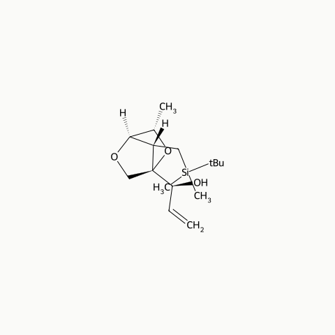 C=C[C@H](O)[C@@]12CO[C@@H]([C@H](C)O1)[C@@H]2C[Si](C)(C)C(C)(C)C